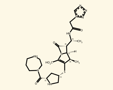 C[C@@H](NC(=O)Cn1cnnn1)[C@H]1C(=O)N2C(C(=O)O)=C(S[C@@H]3CN[C@H](C(=O)N4CCCNCC4)C3)[C@H](C)[C@H]12